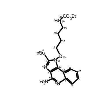 CCCCc1nc2c(N)nc3ccccc3c2n1OCCCCNC(=O)OCC